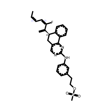 C=C(/C(F)=C\C=C/C)[C@@H]1Cc2cnc(Nc3cccc(CCOS(C)(=O)=O)c3)nc2-c2ccccc21